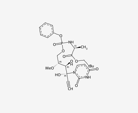 C#C[C@@](O)([C@H](O)[C@@H](COP(=O)(N[C@@H](C)C(=O)OCC(C)(C)C)Oc1ccccc1)OC)n1ccc(=O)[nH]c1=O